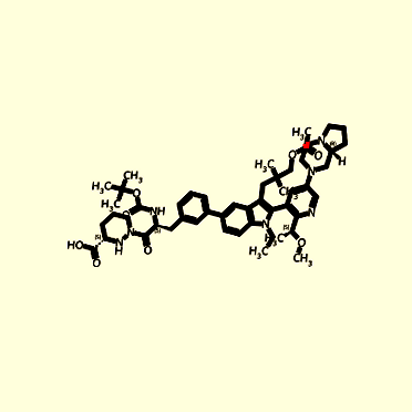 CCn1c(-c2cc(N3CCN4CCC[C@@H]4C3)cnc2[C@H](C)OC)c(CC(C)(C)COC(C)=O)c2cc(-c3cccc(C[C@H](NC(=O)OC(C)(C)C)C(=O)N4CCC[C@@H](C(=O)O)N4)c3)ccc21